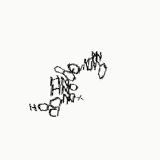 CC(C)(C)c1cc(NC(=O)Nc2ccc(OCCN3CCn4c(nnc4-c4ccccc4)C3)c3c2CCC3)n(-c2ccc(O)c(Cl)c2)n1